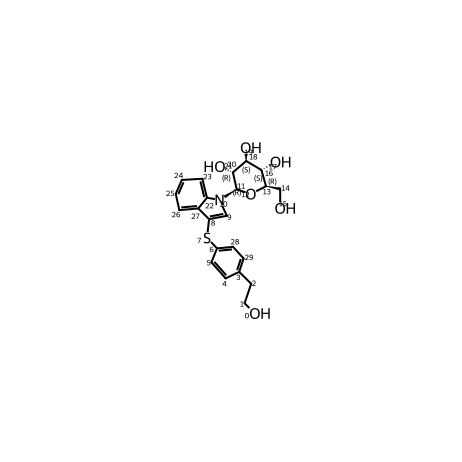 OCCc1ccc(Sc2cn([C@@H]3O[C@H](CO)[C@@H](O)[C@H](O)[C@H]3O)c3ccccc23)cc1